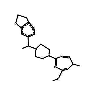 COC1=CC(F)C=NC(N2CCN(C(C)c3ccc4c(c3)OCC4)CC2)=N1